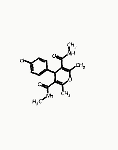 CNC(=O)C1=C(C)OC(C)=C(C(=O)NC)C1c1ccc(Cl)cc1